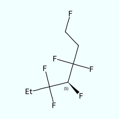 [CH2]CC(F)(F)[C@H](F)C(F)(F)CCF